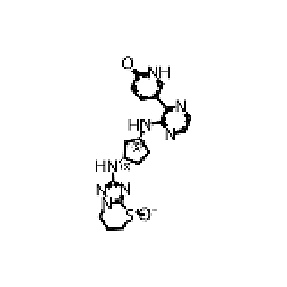 O=c1ccc(-c2nccnc2N[C@H]2CC[C@H](Nc3nc4n(n3)CCC[S+]4[O-])C2)c[nH]1